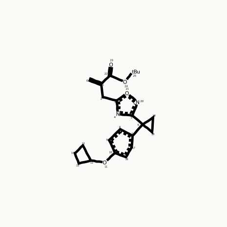 C=C(Cc1nc(C2(c3ccc(OC4CCC4)cc3)CC2)no1)C(=O)OC(C)(C)C